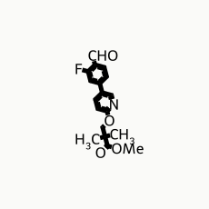 COC(=O)C(C)(C)COc1ccc(-c2ccc(C=O)c(F)c2)cn1